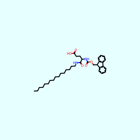 CCCCCCCCCCCCCCCCNC(=O)C(CCC(=O)O)NC(=O)OCC1c2ccccc2-c2ccccc21